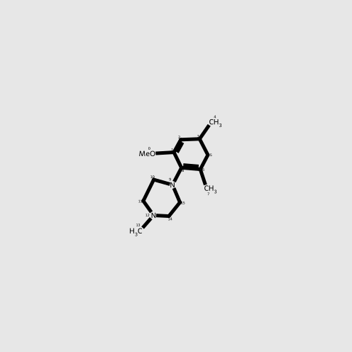 COC1=CC(C)CC(C)=C1N1CCN(C)CC1